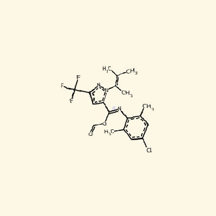 CC(C)=C(C)n1nc(C(F)(F)F)cc1/C(=N/c1c(C)cc(Cl)cc1C)OC=O